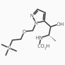 C[C@H](NC(=O)O)C(O)c1ccnn1COCC[Si](C)(C)C